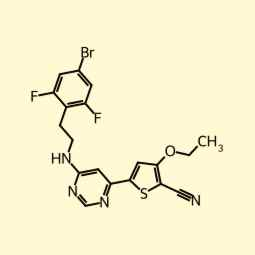 CCOc1cc(-c2cc(NCCc3c(F)cc(Br)cc3F)ncn2)sc1C#N